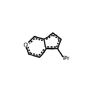 [CH2]C(C)c1ccc2coccc1-2